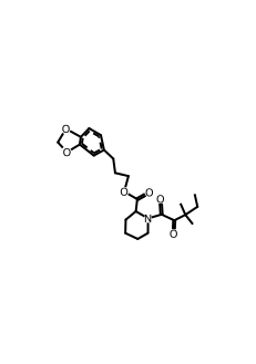 CCC(C)(C)C(=O)C(=O)N1CCCCC1C(=O)OCCCc1ccc2c(c1)OCO2